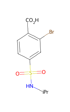 CC(C)NS(=O)(=O)c1ccc(C(=O)O)c(Br)c1